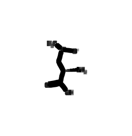 C[S+]([O-])C[C@H](N)C(=O)O